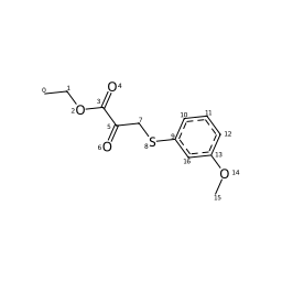 CCOC(=O)C(=O)CSc1cccc(OC)c1